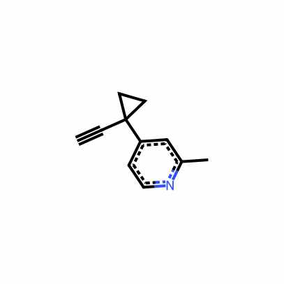 C#CC1(c2ccnc(C)c2)CC1